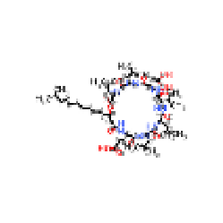 CC(C)CCCCCCCCC[C@@H]1CC(=O)N[C@@H](CCC(=O)O)C(=O)N[C@@H](CC(C)C)C(=O)N[C@H](CC(C)C)C(=O)N[C@@H](C(C)C)C(=O)N[C@@H](CC(O)O)C(=O)N[C@H](CC(C)C)C(=O)N[C@@H](CC(C)C)C(=O)O1